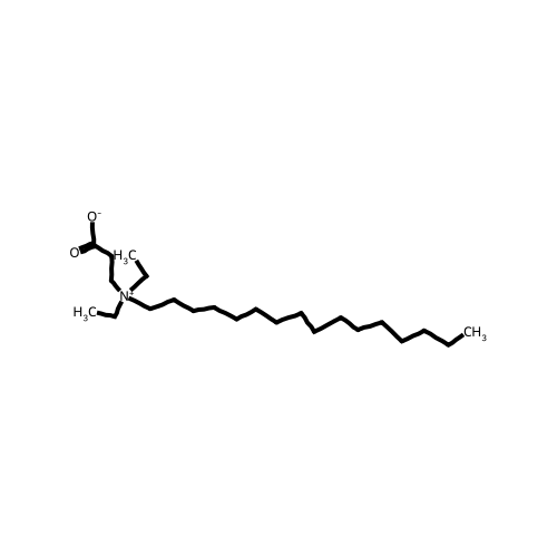 CCCCCCCCCCCCCCCC[N+](CC)(CC)CCC(=O)[O-]